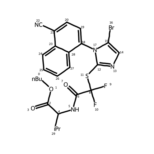 CCCCOC(=O)C(NC(=O)C(F)(F)Sc1ncc(Br)n1-c1ccc(C#N)c2ccccc12)C(C)C